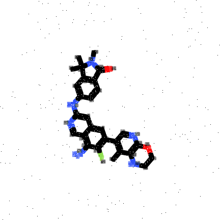 Cc1c(-c2cc3cc(Nc4ccc5c(c4)C(C)(C)N(C)C5=O)ncc3c(N)c2F)cnc2c1NCCO2